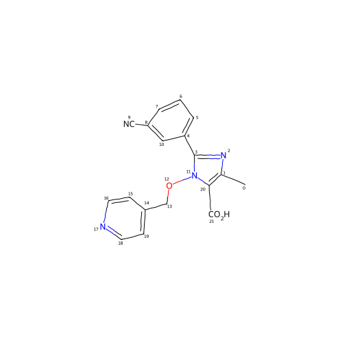 Cc1nc(-c2cccc(C#N)c2)n(OCc2ccncc2)c1C(=O)O